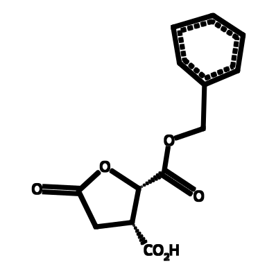 O=C1C[C@@H](C(=O)O)[C@@H](C(=O)OCc2ccccc2)O1